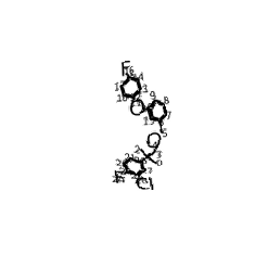 CC(C)(COCc1cccc(Oc2ccc(F)cc2)c1)c1ccc(F)c(Cl)c1